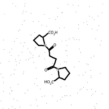 O=C(O)C1CCCN1C(=O)CCC(=O)N1CCCC1C(=O)O